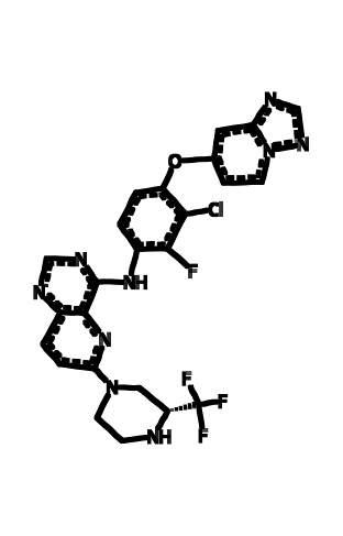 Fc1c(Nc2ncnc3ccc(N4CCN[C@@H](C(F)(F)F)C4)nc23)ccc(Oc2ccn3ncnc3c2)c1Cl